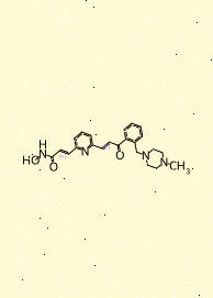 CN1CCN(Cc2ccccc2C(=O)/C=C/c2cccc(/C=C/C(=O)NO)n2)CC1